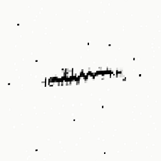 NCCCCCCCCCCC(N)CCO